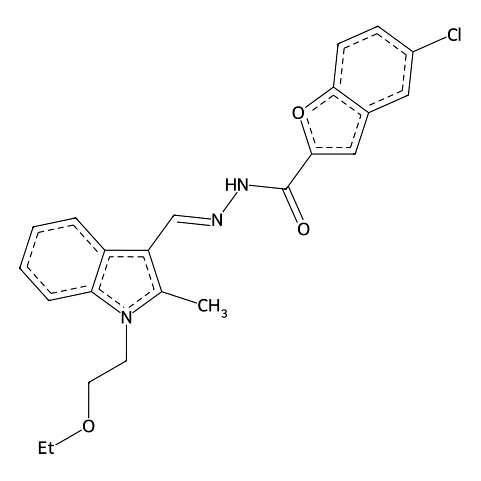 CCOCCn1c(C)c(/C=N/NC(=O)c2cc3cc(Cl)ccc3o2)c2ccccc21